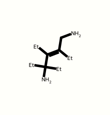 CC/C(CN)=C(/CC)C(N)(CC)CC